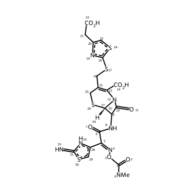 CNC(=O)ON=C(C(=O)NC1C(=O)N2C(C(=O)O)=C(CSc3nc(CC(=O)O)cs3)CS[C@@H]12)c1csc(=N)[nH]1